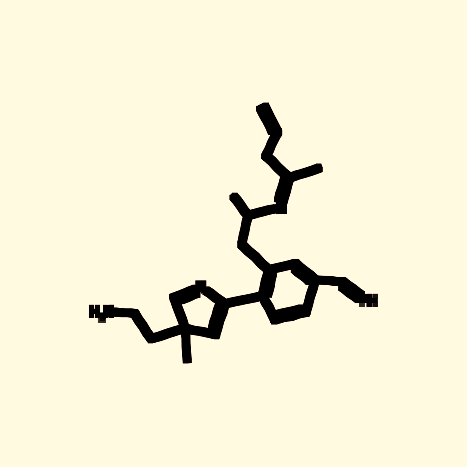 C=CC/C(C)=N\C(C)Cc1cc(C=P)ccc1C1=CC(C)(CCN)C=N1